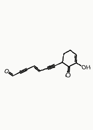 O=CC#CC=CC#CC1CCC=C(O)C1=O